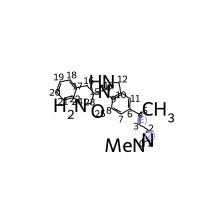 CN/N=C\C=C(/C)c1ccc2c(c1)CNN2C(Cc1ccccc1)C(N)=O